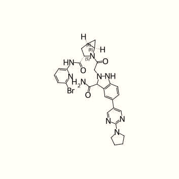 NC(=O)C1c2cc(-c3cnc(N4CCCC4)nc3)ccc2NN1CC(=O)N1[C@@H]2C[C@@H]2C[C@H]1C(=O)Nc1cccc(Br)n1